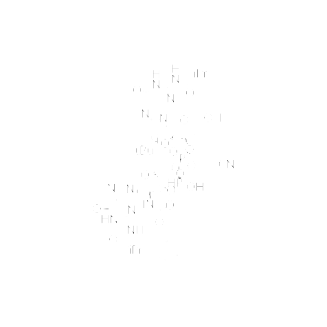 CC(C)C(=O)Nc1nc2c(ncn2[C@@H]2O[C@H](COP(=O)(OCCC#N)O[C@H]3[C@@H](O[Si](C)(C)C(C)(C)C)[C@H](n4cnc5c(=O)[nH]c(NC(=O)C(C)C)nc54)O[C@@H]3CO)[C@@H](O[PH](=O)O)[C@H]2NC(=O)OCc2ccccc2)c(=O)[nH]1